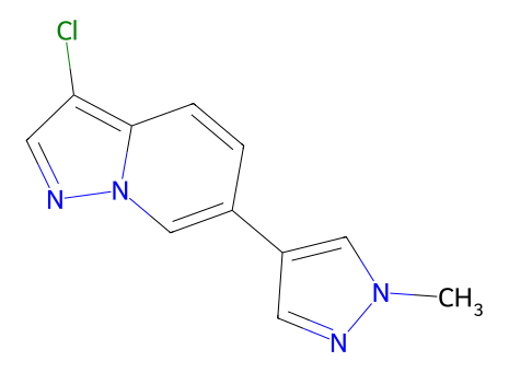 Cn1cc(-c2ccc3c(Cl)cnn3c2)cn1